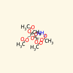 CC(=O)OCC(O[C@@H](ON)[C@H](COC(C)=O)OC(C)=O)[C@H](C)OC(C)=O